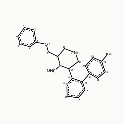 O=CN1C(COc2cccnc2)CNCC1c1ncccc1-c1ccc(F)cc1